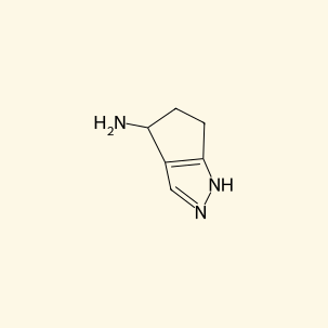 NC1CCc2[nH]ncc21